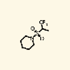 CC(C(F)(F)F)S(=O)(=O)N1CCCCC1